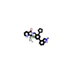 BC1(B)c2ncccc2C(=O)N1Cc1c(F)cc(-c2cccc3nn(C)cc23)cc1C1CCCC1